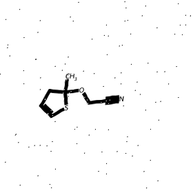 CC1(OCC#N)CC=CS1